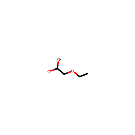 CCOCC([O])[O]